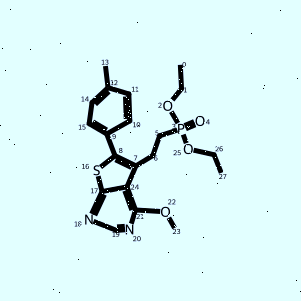 CCOP(=O)(CCc1c(-c2ccc(C)cc2)sc2ncnc(OC)c12)OCC